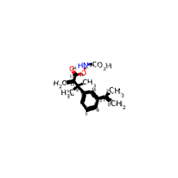 C=C(C)c1cccc(C(C)(C)C(=C)C(=O)ONC(=O)O)c1